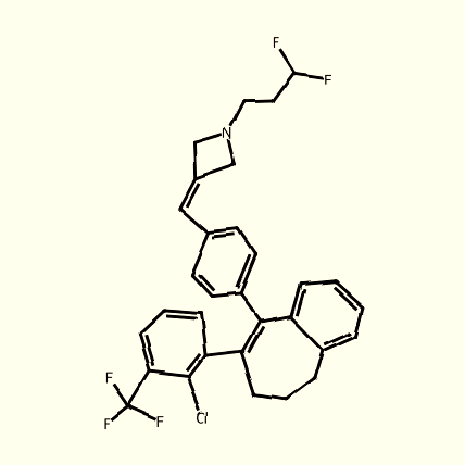 FC(F)CCN1CC(=Cc2ccc(C3=C(c4cccc(C(F)(F)F)c4Cl)CCCc4ccccc43)cc2)C1